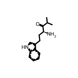 CC(C)C(=O)[C@@H](N)CCc1c[nH]c2ccccc12